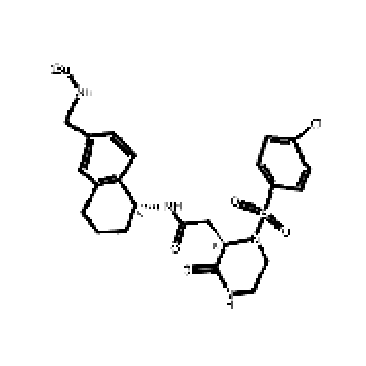 CC(C)(C)NCc1ccc2c(c1)CCC[C@H]2NC(=O)C[C@@H]1C(=O)NCCN1S(=O)(=O)c1ccc(Cl)cc1